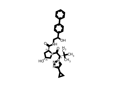 CC(C)(C)[C@@H](C(=O)N1C[C@H](O)C[C@H]1C(=O)NCC(O)c1ccc(-c2ccccc2)cc1)n1cc(C2CC2)nn1